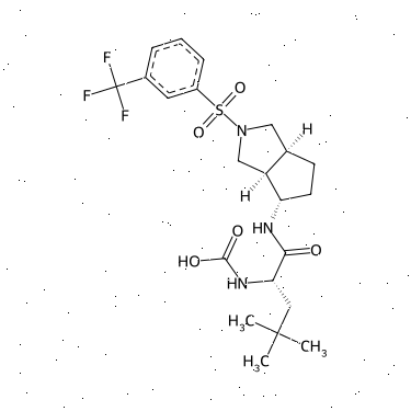 CC(C)(C)C[C@H](NC(=O)O)C(=O)N[C@H]1CC[C@@H]2CN(S(=O)(=O)c3cccc(C(F)(F)F)c3)C[C@@H]21